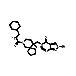 CCn1cc2c(=O)n(CC3(O)CCN(C(=O)[C@H](C)CC4CCCCC4)CC34CCCC4)cnc2n1